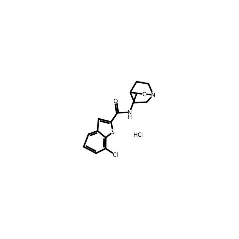 Cl.O=C(NC1CN2CCC1CC2)c1cc2cccc(Cl)c2s1